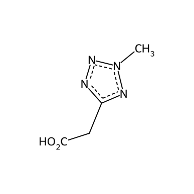 Cn1nnc(CC(=O)O)n1